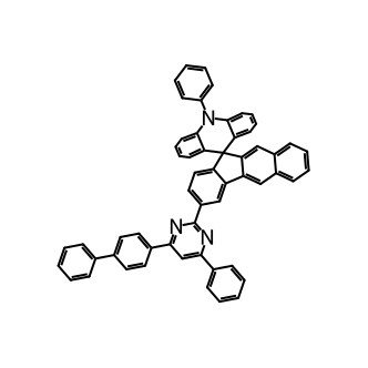 c1ccc(-c2ccc(-c3cc(-c4ccccc4)nc(-c4ccc5c(c4)-c4cc6ccccc6cc4C54c5ccccc5N(c5ccccc5)c5ccccc54)n3)cc2)cc1